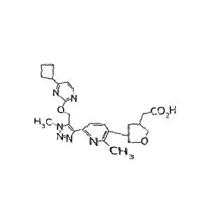 Cc1nc(-c2nnn(C)c2COc2nccc(C3CCC3)n2)ccc1C1COCC(CC(=O)O)C1